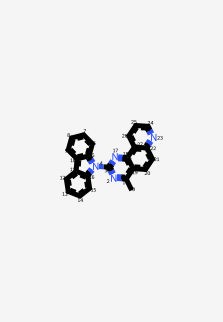 Cc1nc(-n2c3ccccc3c3ccccc32)nc2c1ccc1ncccc12